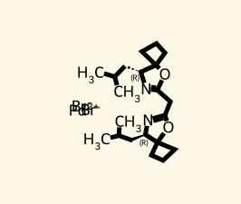 CC(C)C[C@H]1N=C(CC2=N[C@H](CC(C)C)C3(CCC3)O2)OC12CCC2.[Br-].[Br-].[Pd+2]